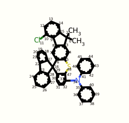 CC1(C)c2cc3c(cc2-c2c(Cl)cccc21)C1(c2ccccc2-c2ccccc21)c1cccc(N(c2ccccc2)c2ccccc2)c1S3